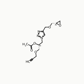 C#CCOC[C@@H](Cn1cc(COC[C@@H]2CO2)nn1)OC(C)=O